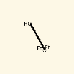 CCC(=O)C(CC)CCCCCCCCCCCCCCCO